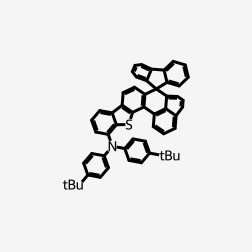 CC(C)(C)c1ccc(N(c2ccc(C(C)(C)C)cc2)c2cccc3c2sc2c4c(ccc23)C2(c3ccccc3-c3ccccc32)c2cccc3cccc-4c23)cc1